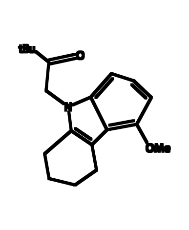 COc1cccc2c1c1c(n2CC(=O)C(C)(C)C)CCCC1